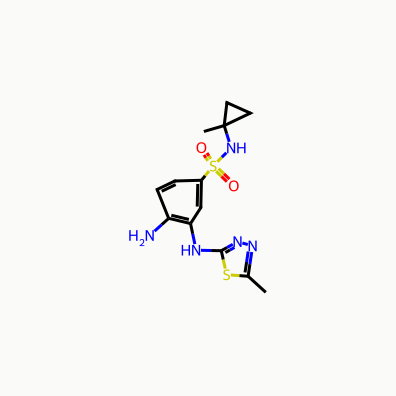 Cc1nnc(Nc2cc(S(=O)(=O)NC3(C)CC3)ccc2N)s1